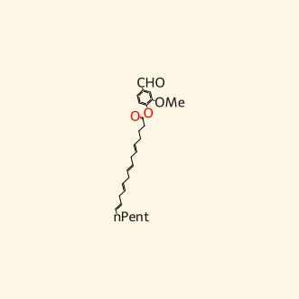 CCCCCC=CCC=CCC=CCC=CCCCC(=O)Oc1ccc(C=O)cc1OC